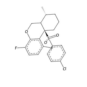 C[C@@H]1CCC[C@]2(S(=O)(=O)c3ccc(Cl)cc3)c3c(F)ccc(F)c3OCC12